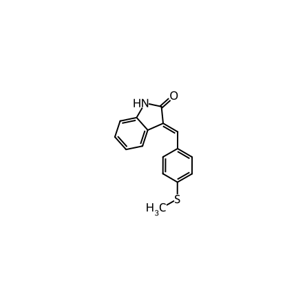 CSc1ccc(/C=C2/C(=O)Nc3ccccc32)cc1